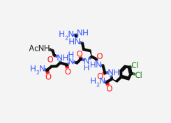 CC(=O)NCC(=O)NC(CCC(N)=O)C(=O)NCC(=O)N[C@@H](CCCNC(=N)N)C(=O)NCC(=O)N[C@@H](Cc1ccc(Cl)c(Cl)c1)C(N)=O